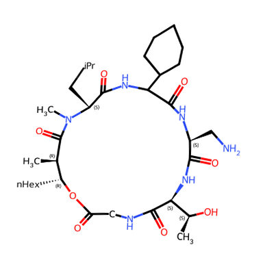 CCCCCC[C@H]1OC(=O)CNC(=O)[C@H]([C@H](C)O)NC(=O)[C@H](CN)NC(=O)C(C2CCCCC2)NC(=O)[C@H](CC(C)C)N(C)C(=O)[C@@H]1C